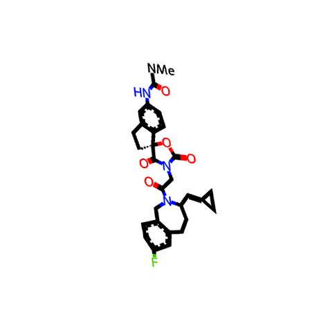 CNC(=O)Nc1ccc2c(c1)CC[C@@]21OC(=O)N(CC(=O)N2Cc3ccc(F)cc3CCC2C=C2CC2)C1=O